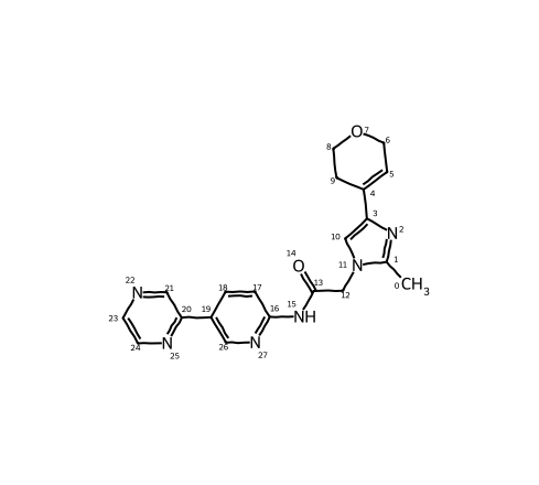 Cc1nc(C2=CCOCC2)cn1CC(=O)Nc1ccc(-c2cnccn2)cn1